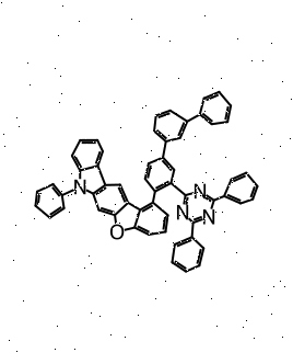 c1ccc(-c2cccc(-c3ccc(-c4cccc5oc6cc7c(cc6c45)c4ccccc4n7-c4ccccc4)c(-c4nc(-c5ccccc5)nc(-c5ccccc5)n4)c3)c2)cc1